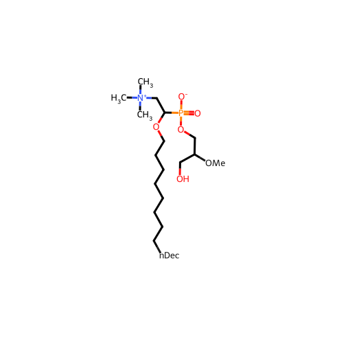 CCCCCCCCCCCCCCCCCCOC(C[N+](C)(C)C)P(=O)([O-])OCC(CO)OC